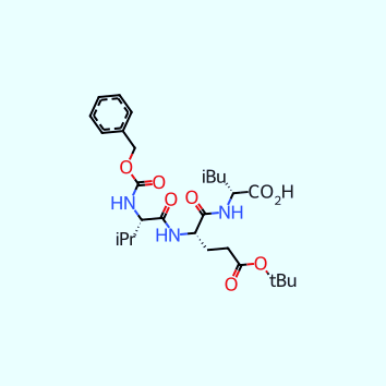 CCC(C)[C@@H](NC(=O)[C@H](CCC(=O)OC(C)(C)C)NC(=O)[C@@H](NC(=O)OCc1ccccc1)C(C)C)C(=O)O